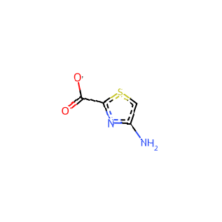 Nc1csc(C([O])=O)n1